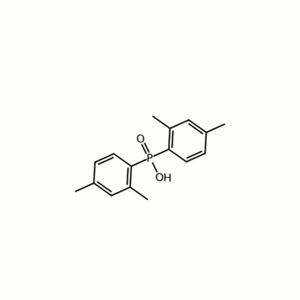 Cc1ccc(P(=O)(O)c2ccc(C)cc2C)c(C)c1